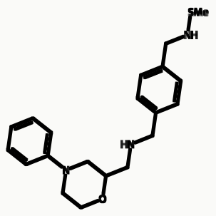 CSNCc1ccc(CNCC2CN(c3ccccc3)CCO2)cc1